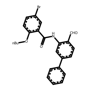 CCCCOc1ccc(Br)cc1C(=O)Nc1cc(-c2ccccc2)ccc1C=O